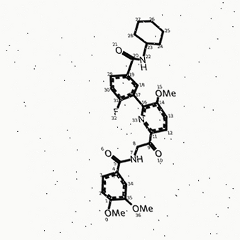 COc1ccc(C(=O)NCC(=O)c2ccc(OC)c(-c3cc(C(=O)NC4CCCCC4)ccc3F)n2)cc1OC